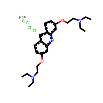 CCN(CC)CCOc1ccc2cc3ccc(OCCN(CC)CC)cc3nc2c1.[Cl-].[Cl-].[Cl-].[Cl-].[Pt+4]